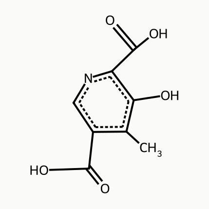 Cc1c(C(=O)O)cnc(C(=O)O)c1O